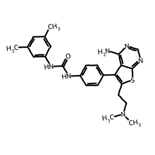 Cc1cc(C)cc(NC(=O)Nc2ccc(-c3c(CCN(C)C)sc4ncnc(N)c34)cc2)c1